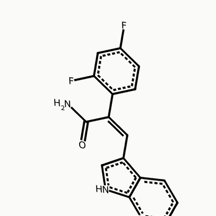 NC(=O)C(=Cc1c[nH]c2ncccc12)c1ccc(F)cc1F